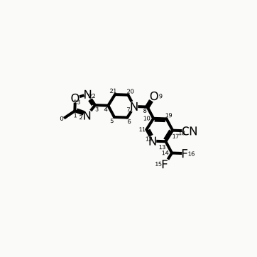 Cc1nc(C2CCN(C(=O)c3cnc(C(F)F)c(C#N)c3)CC2)no1